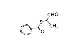 CC([C]=O)SC(=O)c1ccccc1